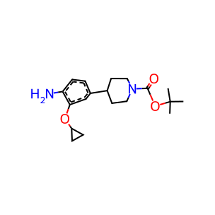 CC(C)(C)OC(=O)N1CCC(c2ccc(N)c(OC3CC3)c2)CC1